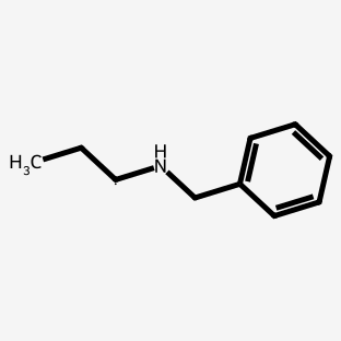 CC[CH]NCc1ccccc1